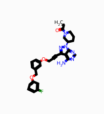 C=CC(=O)N1CCC[C@@H](n2nc(C#CCOc3cccc(COc4cccc(F)c4)c3)c3c(N)ncnc32)C1